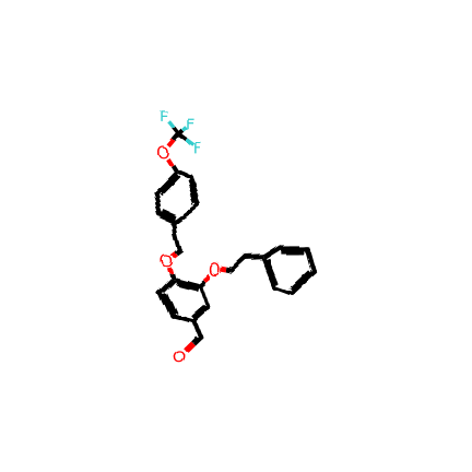 O=Cc1ccc(OCc2ccc(OC(F)(F)F)cc2)c(OCCc2ccccc2)c1